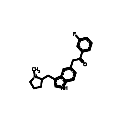 CN1CCCC1Cc1c[nH]c2ccc(CC(=O)c3cccc(F)c3)cc12